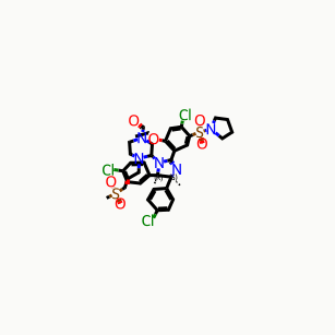 CCOc1cc(Cl)c(S(=O)(=O)N2CCCC2)cc1C1=N[C@@](C)(c2ccc(Cl)cc2)[C@@](C)(c2ccc(Cl)cc2)N1C1CN(C=O)CCN1CCCS(C)(=O)=O